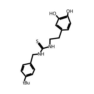 CC(C)(C)c1ccc(CNC(=S)NCCc2ccc(O)c(O)c2)cc1